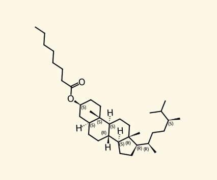 CCCCCCCC(=O)O[C@H]1CC[C@@]2(C)[C@@H](CC[C@@H]3[C@@H]2CC[C@]2(C)[C@@H]([C@H](C)CC[C@H](C)C(C)C)CC[C@@H]32)C1